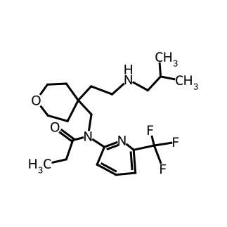 CCC(=O)N(CC1(CCNCC(C)C)CCOCC1)c1cccc(C(F)(F)F)n1